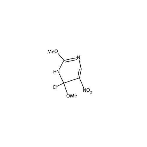 COC1=NC=C([N+](=O)[O-])C(Cl)(OC)N1